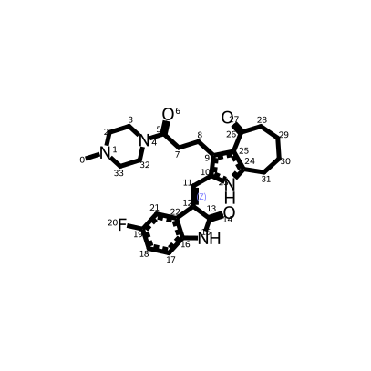 CN1CCN(C(=O)CCc2c(/C=C3\C(=O)Nc4ccc(F)cc43)[nH]c3c2C(=O)CCCC3)CC1